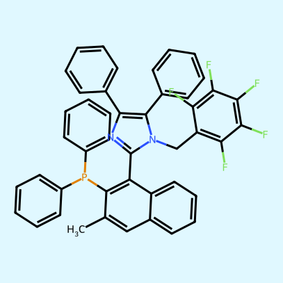 Cc1cc2ccccc2c(-c2nc(-c3ccccc3)c(-c3ccccc3)n2Cc2c(F)c(F)c(F)c(F)c2F)c1P(c1ccccc1)c1ccccc1